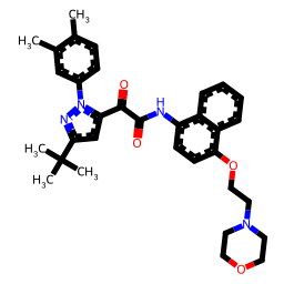 Cc1ccc(-n2nc(C(C)(C)C)cc2C(=O)C(=O)Nc2ccc(OCCN3CCOCC3)c3ccccc23)cc1C